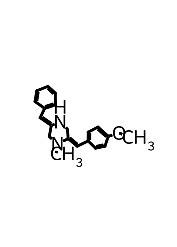 COc1ccc(C=C2CNC(=Cc3ccccc3)CN2C)cc1